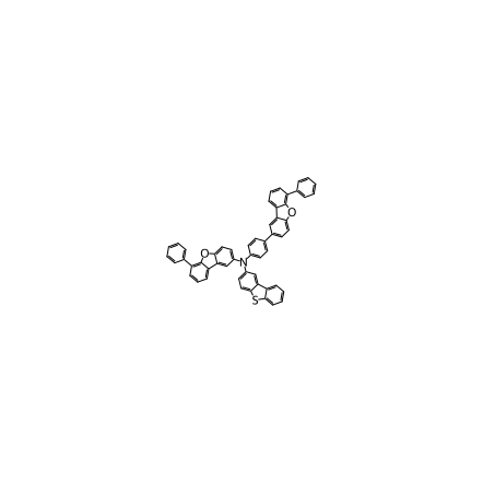 c1ccc(-c2cccc3c2oc2ccc(-c4ccc(N(c5ccc6oc7c(-c8ccccc8)cccc7c6c5)c5ccc6sc7ccccc7c6c5)cc4)cc23)cc1